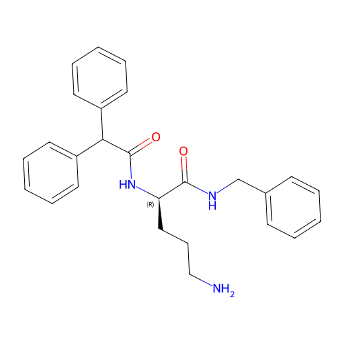 NCCC[C@@H](NC(=O)C(c1ccccc1)c1ccccc1)C(=O)NCc1ccccc1